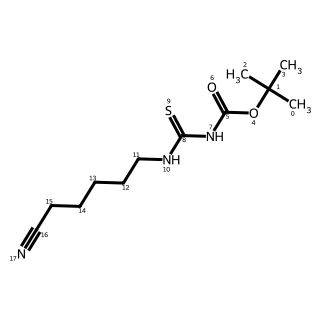 CC(C)(C)OC(=O)NC(=S)NCCCCCC#N